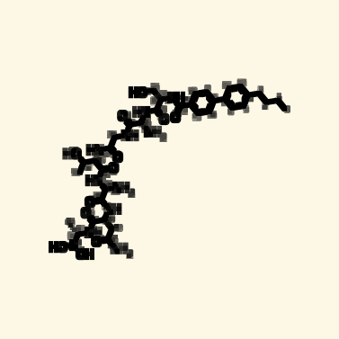 CCCCc1ccc(-c2ccc(C(=O)N[C@H](CO)C(=O)N[C@H](N)C(=O)NCC(=O)N[C@H](C(=O)N[C@@H](N)C(=O)N[C@@H](CC(N)=O)C(=O)N[C@@H](C)B(O)O)C(C)O)cc2)cc1